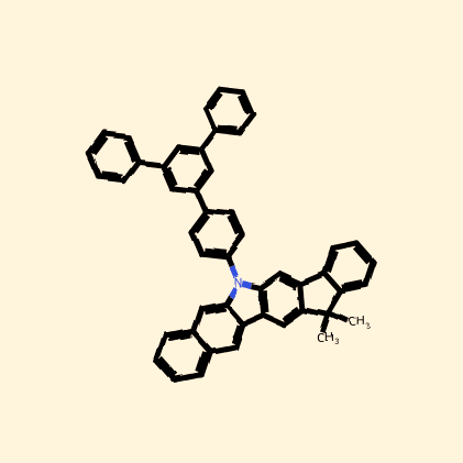 CC1(C)c2ccccc2-c2cc3c(cc21)c1cc2ccccc2cc1n3-c1ccc(-c2cc(-c3ccccc3)cc(-c3ccccc3)c2)cc1